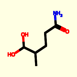 CC(CCC(N)=O)C(O)O